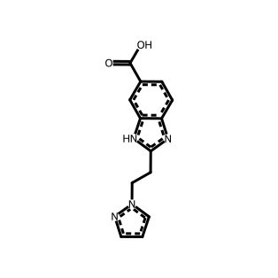 O=C(O)c1ccc2nc(CCn3cccn3)[nH]c2c1